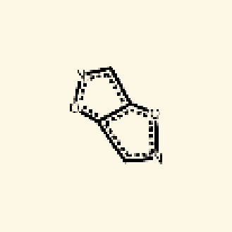 c1noc2cnoc12